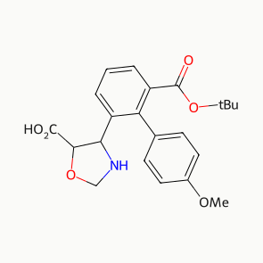 COc1ccc(-c2c(C(=O)OC(C)(C)C)cccc2C2NCOC2C(=O)O)cc1